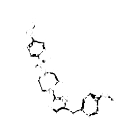 COc1ccc(Cc2csc(N3CCN(S(=O)(=O)c4ccc(OC)cc4)CC3)n2)cc1